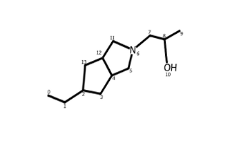 CCC1CC2CN(CC(C)O)CC2C1